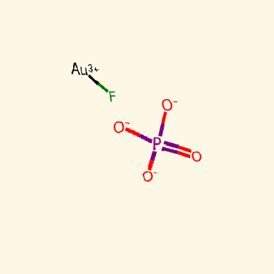 O=P([O-])([O-])[O-].[F][Au+3]